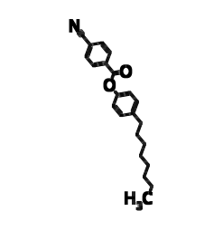 CCCCCCCCc1ccc(OC(=O)c2ccc(C#N)cc2)cc1